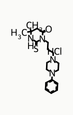 CC1(C)CC(=O)N(CCCN2CCN(c3ccccc3)CC2)C(=S)N1.Cl